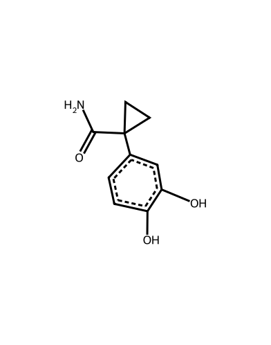 NC(=O)C1(c2ccc(O)c(O)c2)CC1